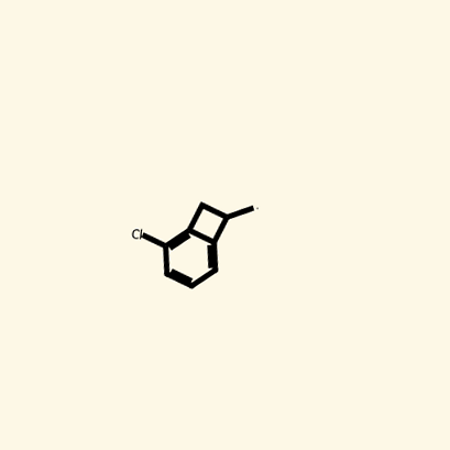 [CH2]C1Cc2c(Cl)cccc21